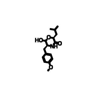 COc1ccc(C[C@@H]2NC(=O)[C@H](CC(C)C)OC2O)cc1